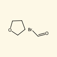 C1CCOC1.O=CBr